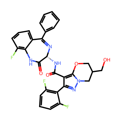 O=C(N[C@H]1N=C(c2ccccc2)c2cccc(F)c2NC1=O)c1c(-c2c(F)cccc2F)nn2c1OCC(CO)C2